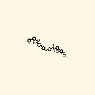 Cc1c(C(=O)NC2CCN(Cc3ccc(N4CCC(NC(=O)c5cccc(-c6cccnc6)c5)CC4)nc3)CC2)cccc1-c1ccc(OC(F)(F)F)cc1